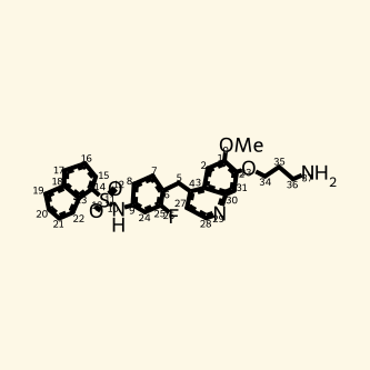 COc1cc2c(Cc3ccc(NS(=O)(=O)c4cccc5ccccc45)cc3F)ccnc2cc1OCCCN